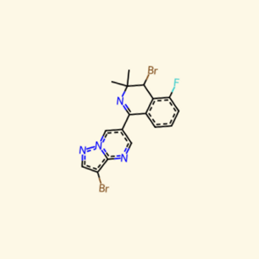 CC1(C)N=C(c2cnc3c(Br)cnn3c2)c2cccc(F)c2C1Br